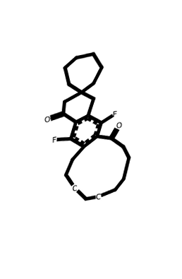 O=C1CCCCCCCCCc2c(F)c3c(c(F)c21)CC1(CCCCCC1)CC3=O